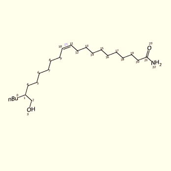 CCCCC(CO)CCCCCC/C=C\CCCCCCCCCC(N)=O